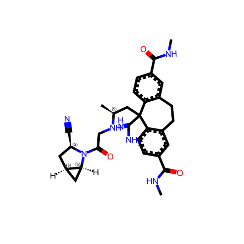 CNC(=O)c1ccc2c(c1)CCc1cc(C(=O)NC)ccc1C2(C[C@H](C)NCC(=O)N1[C@H](C#N)C[C@@H]2C[C@@H]21)C(=N)N